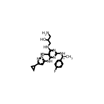 C[C@H](Nc1nc(NCC(O)CN)c(Cl)c(Nc2cc(C3CC3)n[nH]2)n1)c1ccc(F)cc1